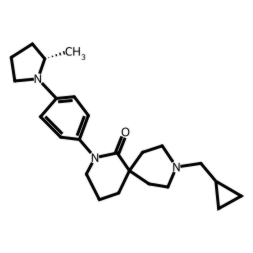 C[C@H]1CCCN1c1ccc(N2CCCC3(CCN(CC4CC4)CC3)C2=O)cc1